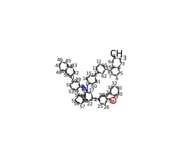 C[C@H]1C=Cc2cccc(-c3cccc(-c4ccc(N(c5cccc(-c6ccc7oc8ccccc8c7c6)c5)c5cc(-c6ccc7ccccc7c6)ccc5-c5ccccc5)cc4)c3)c2C1